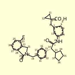 O=C(Nc1cccc(CC2(C(=O)O)CC2)c1)[C@@H](c1ccc(CN2Cc3c(F)cccc3C2=O)cc1)C1CCCC1